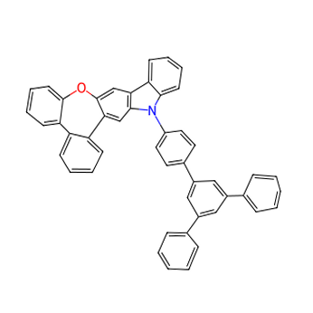 c1ccc(-c2cc(-c3ccccc3)cc(-c3ccc(-n4c5ccccc5c5cc6c(cc54)-c4ccccc4-c4ccccc4O6)cc3)c2)cc1